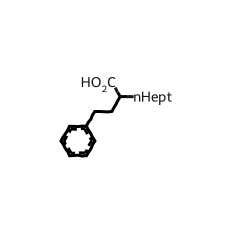 CCCCCCCC(CCc1ccccc1)C(=O)O